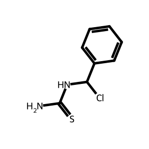 NC(=S)NC(Cl)c1ccccc1